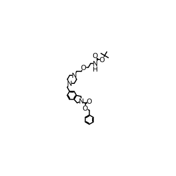 CC(C)(C)OC(=O)NCCOCCN1CCN(Cc2ccc3c(c2)CN(C(=O)OCc2ccccc2)C3)CC1